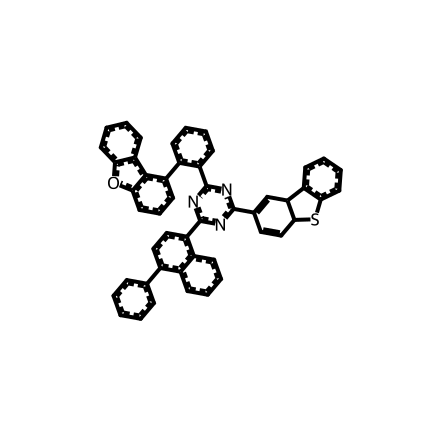 C1=CC2Sc3ccccc3C2C=C1c1nc(-c2ccccc2-c2cccc3oc4ccccc4c23)nc(-c2ccc(-c3ccccc3)c3ccccc23)n1